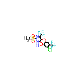 CS(=O)(=O)c1nc(C(F)(F)F)c(Oc2ccc(Cl)c(C(F)(F)F)c2)c(=O)[nH]1